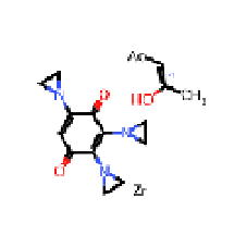 CC(=O)/C=C(/C)O.O=C1C=C(N2CC2)C(=O)C(N2CC2)=C1N1CC1.[Zr]